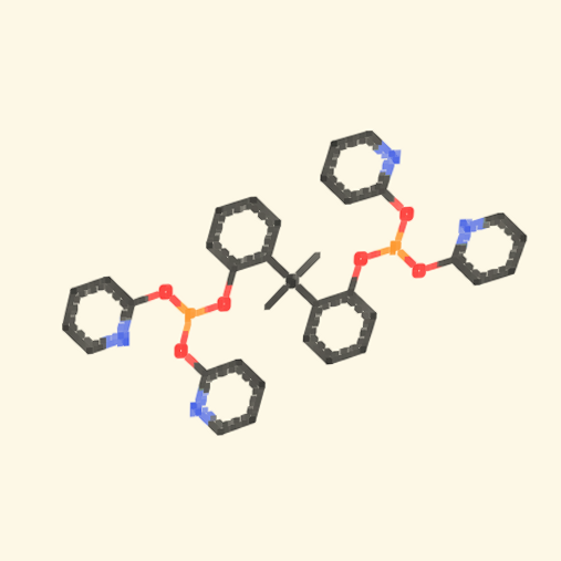 C[Si](C)(c1ccccc1OP(Oc1ccccn1)Oc1ccccn1)c1ccccc1OP(Oc1ccccn1)Oc1ccccn1